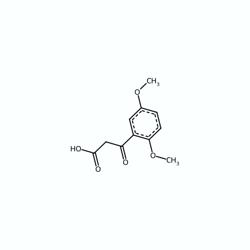 COc1ccc(OC)c(C(=O)CC(=O)O)c1